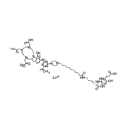 CNc1nc(Nc2ccc(CC3CN(CC(=O)O)CCN(CC(=O)O)CCN(CC(=O)O)CCN3CC(=O)O)cc2)nc(N2CCN(CCCCCCCCCCC(=O)NCCCC[C@H](NC(=O)N[C@@H](CCC(=O)O)C(=O)O)C(=O)O)CC2)n1.[Lu+3]